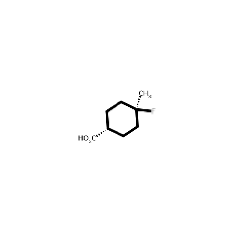 C[C@]1(F)CC[C@H](C(=O)O)CC1